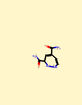 NC(=O)C1=CC(C(N)=O)NNC=C1